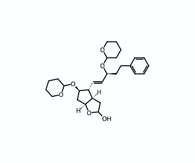 OC1C[C@@H]2[C@@H](C=C[C@H](CCc3ccccc3)OC3CCCCO3)[C@H](OC3CCCCO3)C[C@@H]2O1